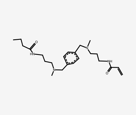 C=CC(=O)NCCCN(C)Cc1ccc(CN(C)CCCNC(=O)CCC)cc1